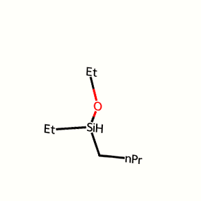 CCCC[SiH](CC)OCC